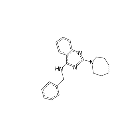 c1ccc(CNc2nc(N3CCCCCC3)nc3ccccc23)cc1